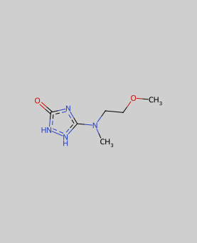 COCCN(C)c1nc(=O)[nH][nH]1